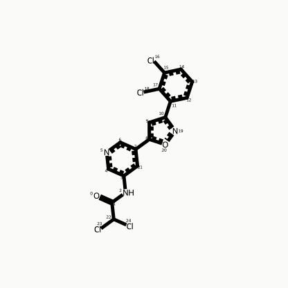 O=C(Nc1cncc(-c2cc(-c3cccc(Cl)c3Cl)no2)c1)C(Cl)Cl